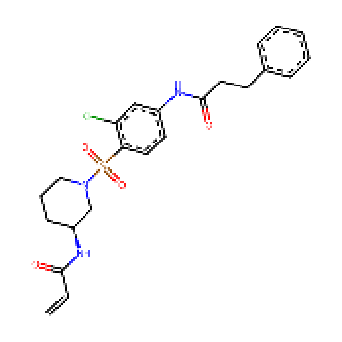 C=CC(=O)N[C@H]1CCCN(S(=O)(=O)c2ccc(NC(=O)CCc3ccccc3)cc2Cl)C1